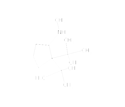 CNC1CCCC1(C(C)(C)C)C(C)(C)C